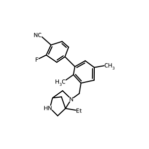 CCC12CNC(CN1Cc1cc(C)cc(-c3ccc(C#N)c(F)c3)c1C)C2